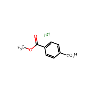 Cl.O=C(O)c1ccc(C(=O)OC(F)(F)F)cc1